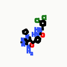 Nc1ncnc2c1c(C(=O)c1cccc(NC(=O)NCc3ccc(Cl)c(Cl)c3)c1)cn2C1CCCC1